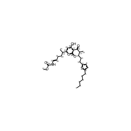 CCCCCCc1ccc(CCCC(C)C(=O)c2c(O)cc(C(C)CC/C=C/NC(=O)OC)oc2=O)s1